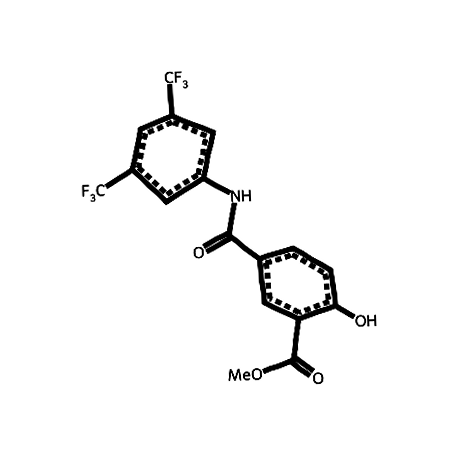 COC(=O)c1cc(C(=O)Nc2cc(C(F)(F)F)cc(C(F)(F)F)c2)ccc1O